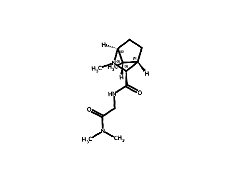 C[C@H]1[C@@H]2CC[C@@H]1N(C)[C@@H]2C(=O)NCC(=O)N(C)C